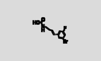 O=C(O)NCCC=Cc1cc(F)cc(Br)c1